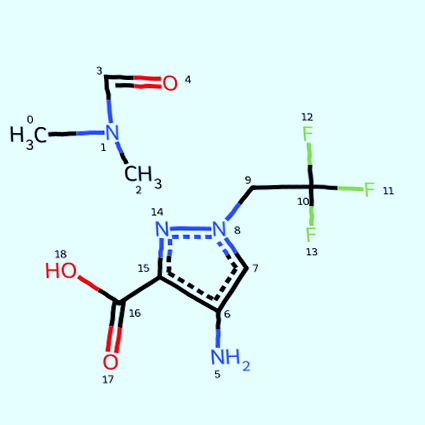 CN(C)C=O.Nc1cn(CC(F)(F)F)nc1C(=O)O